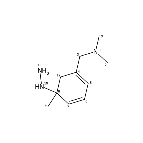 CN(C)CC1=CC=CC(C)(NN)C1